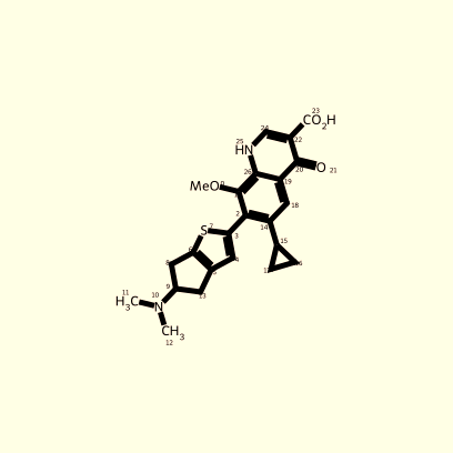 COc1c(-c2cc3c(s2)CC(N(C)C)C3)c(C2CC2)cc2c(=O)c(C(=O)O)c[nH]c12